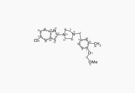 COCOc1ccc(CN2CCN(c3nc4ccc(Cl)cc4s3)CC2)cc1C